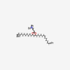 CCC/C=C\CCCC/C=C\CCCCCC(CCCCCCCCCCC/C=C\CCC)OC(=O)CCCN(CC)CC